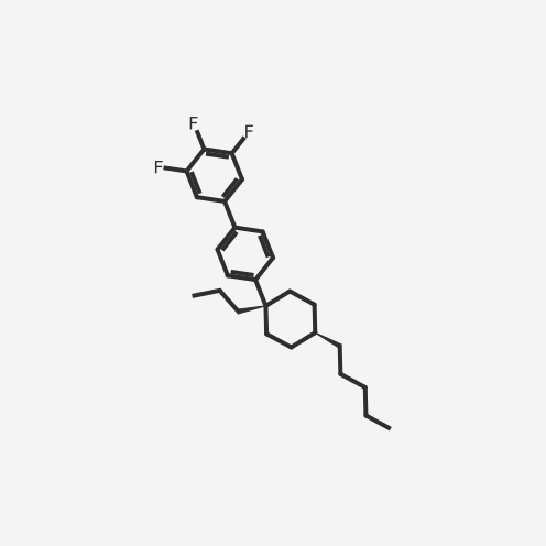 CCCCC[C@H]1CC[C@](CCC)(c2ccc(-c3cc(F)c(F)c(F)c3)cc2)CC1